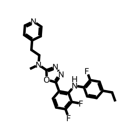 CCc1ccc(Nc2c(-c3nnc(N(C)CCc4ccncc4)o3)ccc(F)c2F)c(F)c1